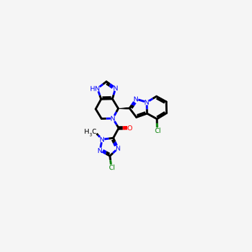 Cn1nc(Cl)nc1C(=O)N1CCc2[nH]cnc2[C@H]1c1cc2c(Cl)cccn2n1